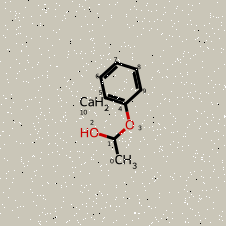 CC(O)Oc1ccccc1.[CaH2]